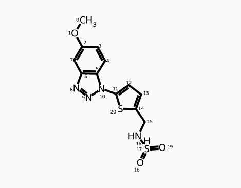 COc1ccc2c(c1)nnn2-c1ccc(CN[SH](=O)=O)s1